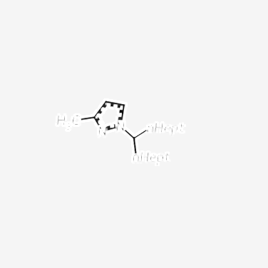 CCCCCCCC(CCCCCCC)n1ccc(C)n1